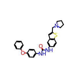 O=C(Nc1ccc(Oc2ccccc2)cc1)Nc1ccc2sc(CN3CCCC3)cc2c1